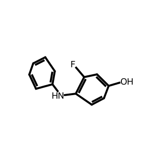 Oc1ccc(Nc2ccccc2)c(F)c1